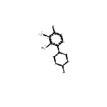 Cc1ccc(C2CCC(C)CC2)c(P)c1P